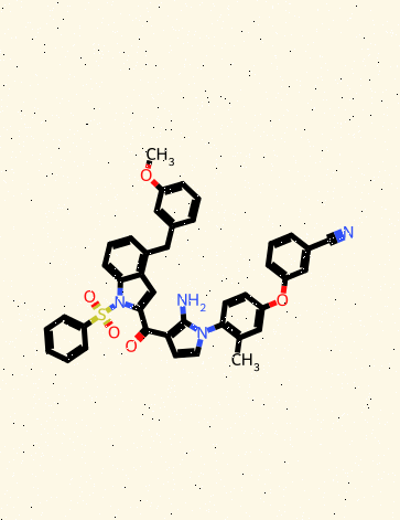 COc1cccc(Cc2cccc3c2cc(C(=O)c2ccn(-c4ccc(Oc5cccc(C#N)c5)cc4C)c2N)n3S(=O)(=O)c2ccccc2)c1